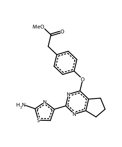 COC(=O)Cc1ccc(Oc2nc(-c3csc(N)n3)nc3c2CCC3)cc1